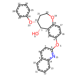 O[C@H]1c2cc(Oc3ccc4ccccc4n3)ccc2OCC[C@H]1Oc1ccccc1